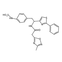 Cc1noc(CC(=O)NC(Cc2[c]cc(NS(=O)(=O)O)cc2)c2csc(-c3ccccc3)n2)n1